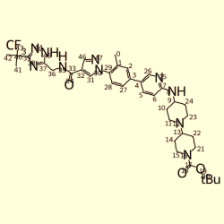 Cc1cc(-c2ccc(NC3CCN(C4CCN(C(=O)OC(C)(C)C)CC4)CC3)nc2)ccc1-n1cc(C(=O)NCc2nc(C(C)(C)C(F)(F)F)n[nH]2)cn1